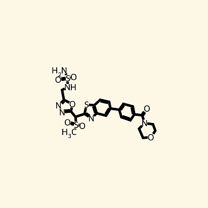 CS(=O)(=O)C(c1nnc(CNS(N)(=O)=O)o1)c1nc2cc(-c3ccc(C(=O)N4CCOCC4)cc3)ccc2s1